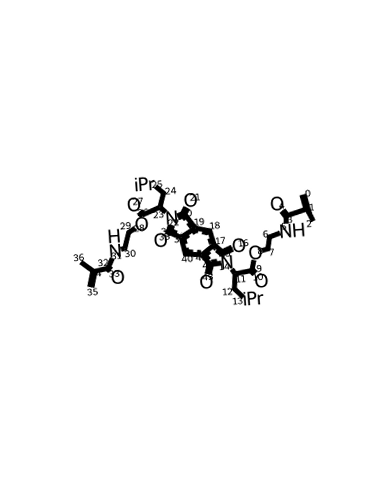 C=C(C)C(=O)NCCOC(=O)C(CC(C)C)n1c(=O)c2cc3c(=O)n(C(CC(C)C)C(=O)OCCNC(=O)C(=C)C)c(=O)c3cc2c1=O